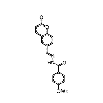 COc1ccc(C(=O)N/N=C/c2ccc3oc(=O)ccc3c2)cc1